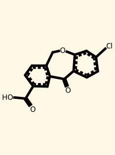 O=C(O)c1ccc2c(c1)C(=O)c1ccc(Cl)cc1OC2